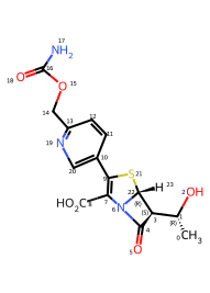 C[C@@H](O)[C@H]1C(=O)N2C(C(=O)O)=C(c3ccc(COC(N)=O)nc3)S[C@H]12